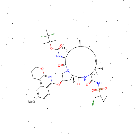 CC[C@@H]1C[C@@H](C)CC/C=C\[C@@H]2C[C@@]2(C(=O)NS(=O)(=O)C2(CF)CC2)NC(=O)[C@@H]2C[C@@H](Oc3nc4c(c5cc(OC)ccc35)CCCO4)CN2C(=O)[C@H]1NC(=O)OC(C)(C)C(C)(F)F